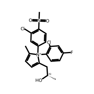 CC1=CC=C(C[C@H](C)O)[N+]1(c1ccc(S(C)(=O)=O)c(Cl)c1)c1ccc(F)cc1Cl